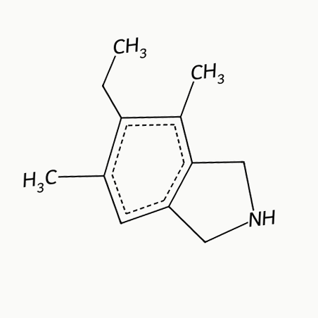 CCc1c(C)cc2c(c1C)CNC2